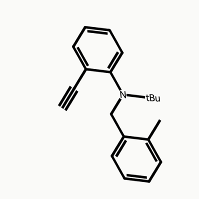 C#Cc1ccccc1N(Cc1ccccc1C)C(C)(C)C